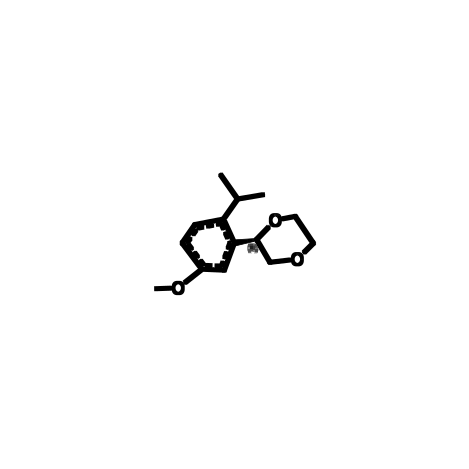 COc1ccc(C(C)C)c([C@@H]2COCCO2)c1